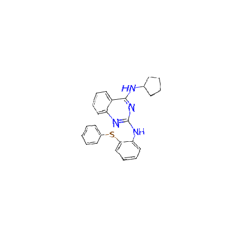 c1ccc(Sc2ccccc2Nc2nc(NC3CCCC3)c3ccccc3n2)cc1